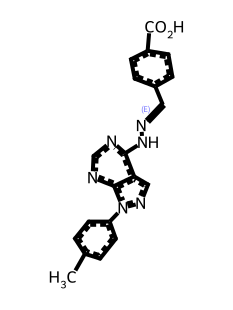 Cc1ccc(-n2ncc3c(N/N=C/c4ccc(C(=O)O)cc4)ncnc32)cc1